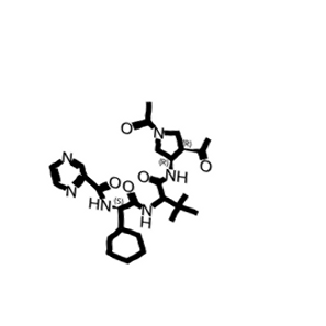 CC(=O)[C@@H]1CN(C(C)=O)C[C@@H]1NC(=O)C(NC(=O)[C@@H](NC(=O)c1cnccn1)C1CCCCC1)C(C)(C)C